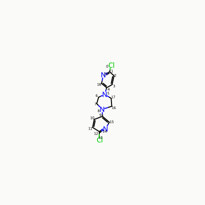 Clc1ccc(N2CCN(c3ccc(Cl)nc3)CC2)cn1